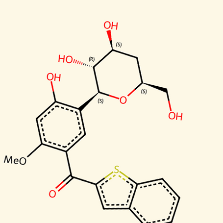 COc1cc(O)c([C@@H]2O[C@H](CO)C[C@H](O)[C@H]2O)cc1C(=O)c1cc2ccccc2s1